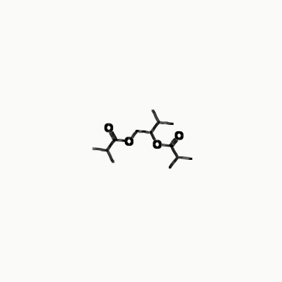 CC(C)C(=O)OCC(OC(=O)C(C)C)C(C)C